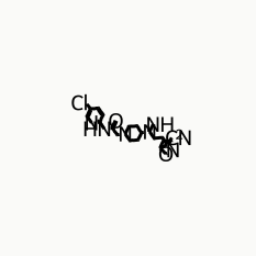 N#CC1(CCN(N)C2CCN(CC(=O)Nc3ccc(Cl)cn3)CC2)C2CCN1O2